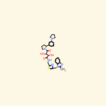 Cc1nc2ccccc2n1Cc1csc(CNC(=O)C(O)C(O)C(=O)N2CCCC2c2cccc(N3CCCC3)c2)n1